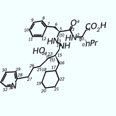 CCC[C@H](NC(=O)[C@H](Cc1ccccc1)NN[C@@H](CC1CCCCC1)[C@@H](O)CCCc1ccccn1)C(=O)O